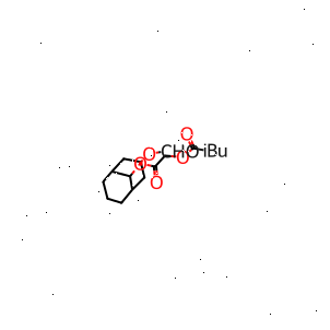 CCC(C)C(=O)OCC(=O)OC1C2CCCC1CC(OC=O)C2